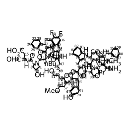 CCCC[C@@H](C(=O)N1C[C@H](O)C[C@@H]1C(=O)N[C@H](C=O)CC(=O)O)N(C)C(=O)[C@H](Cc1ccccc1)N(C)C(=O)[C@H](Cc1cc(F)c(F)c(F)c1)NC(=O)CSC[C@@H](CO)NC(=O)[C@H](CCOC)NC(=O)[C@H](Cc1ccc(O)cc1)NC(=O)[C@H](Cc1c[nH]c2ccccc12)NC(=O)[C@H]1COCCN1C(=O)[C@H](CC(=O)O)NC(=O)[C@H](Cc1ccccc1)N(C)C(=O)[C@@H](N)C(C)C